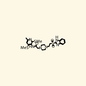 CSc1cc(C)nc(SC)c1NC(=O)CN1CCN(CCS(=O)(=O)c2nc3ccccc3[nH]2)CC1